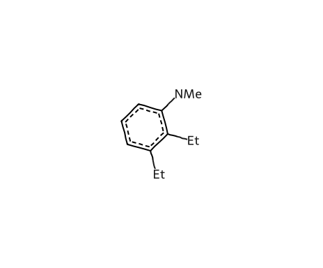 CCc1cccc(NC)c1CC